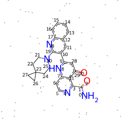 NC(=O)c1nccc2[nH]c(-c3cc4ccccc4nc3N3CCC4(CC3)CC4)cc(=O)c12